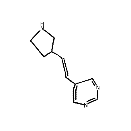 C(=C\C1CCNC1)/c1cncnc1